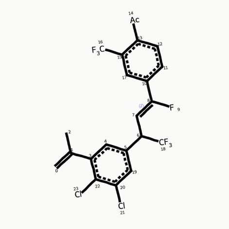 C=C(C)c1cc(C(/C=C(\F)c2ccc(C(C)=O)c(C(F)(F)F)c2)C(F)(F)F)cc(Cl)c1Cl